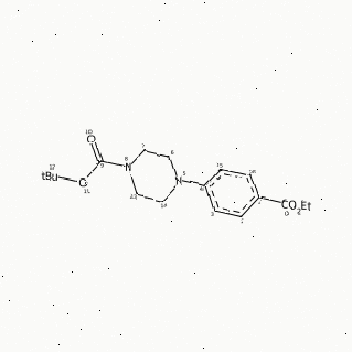 CCOC(=O)c1ccc(N2CCN(C(=O)OC(C)(C)C)CC2)cc1